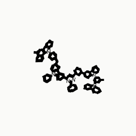 Cc1cc(-n2c3ccccc3c3ccccc32)cc(-n2c3ccccc3c3cc(-c4cccc(-c5cc(-c6ccc7c(c6)c6cc(Cc8ccc(-n9c%10ccccc%10c%10cc(C)c%11ccccc%11c%109)cc8)ccc6n7-c6ccccc6)nc(-c6ccccc6)n5)c4)ccc32)c1